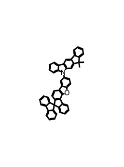 CC1(C)c2ccccc2-c2cc3c4ccccc4n(-c4ccc5oc6c7c(ccc6c5c4)C4(c5ccccc5-c5ccccc54)c4ccccc4-7)c3cc21